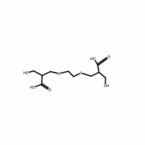 O=C(O)C(CO)CSCCSCC(CO)C(=O)O